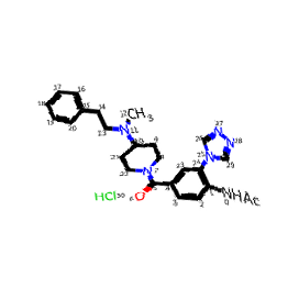 CC(=O)Nc1ccc(C(=O)N2CCC(N(C)CCc3ccccc3)CC2)cc1-n1cnnc1.Cl